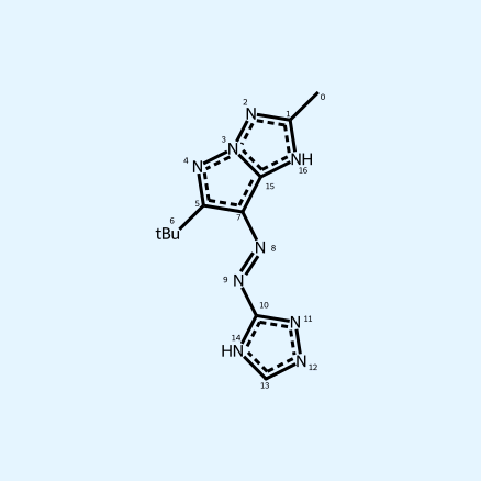 Cc1nn2nc(C(C)(C)C)c(/N=N/c3nnc[nH]3)c2[nH]1